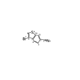 N#Cc1ccc2c(Br)csc2c1